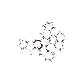 c1ccc2c3c(ccc2c1)-c1cccc2cccc(c12)N3c1nc2ccccc2nc1-c1ccc2sc3ccccc3c2c1